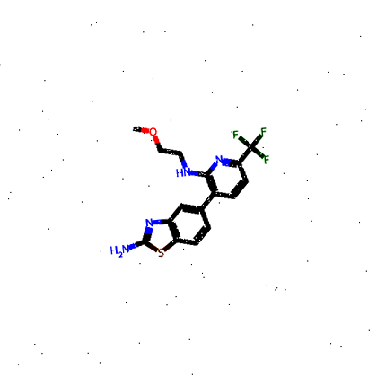 COCCNc1nc(C(F)(F)F)ccc1-c1[c]c2nc(N)sc2cc1